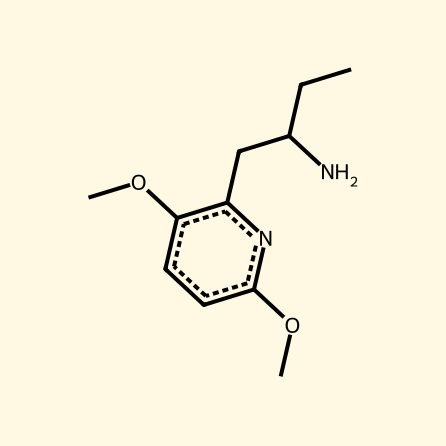 CCC(N)Cc1nc(OC)ccc1OC